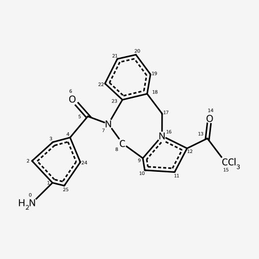 Nc1ccc(C(=O)N2Cc3ccc(C(=O)C(Cl)(Cl)Cl)n3Cc3ccccc32)cc1